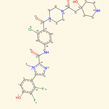 Cn1c(-c2ccc(O)c(F)c2F)cnc1C(=O)Nc1ccc(C(=O)N2CCN(C(=O)CC3(O)CCNCC3)CC2)c(Cl)c1